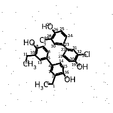 CCc1cc(-c2ccc(O)c(CC)c2)ccc1O.Oc1ccc(-c2ccc(O)c(Cl)c2)cc1Cl